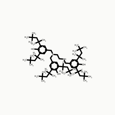 CC(C)(C)CC(C)(C)c1cc(CNCCN(Cc2cc(C(C)(C)CC(C)(C)C)c(O)c(C(C)(C)CC(C)(C)C)c2)Cc2cc(C(C)(C)CC(C)(C)C)c(O)c(C(C)(C)CC(C)(C)C)c2)cc(C(C)(C)CC(C)(C)C)c1O